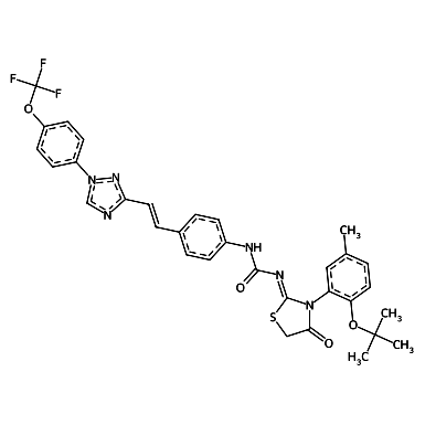 Cc1ccc(OC(C)(C)C)c(N2C(=O)CSC2=NC(=O)Nc2ccc(C=Cc3ncn(-c4ccc(OC(F)(F)F)cc4)n3)cc2)c1